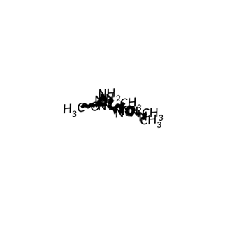 CCCCOc1nc(N)c2ncc(Cc3cnc(N4CCN(CCN(C)C)CC4)c(C)c3)n2n1